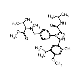 COC(=O)C(C(C)C)N(C)Cc1ccc(-n2c(C(=O)NC(C)C)nnc2-c2cc(C(C)C)c(OC)cc2O)cc1